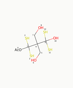 CC(=O)OC(S)(S)C(CO)(CO)C(O)(S)S